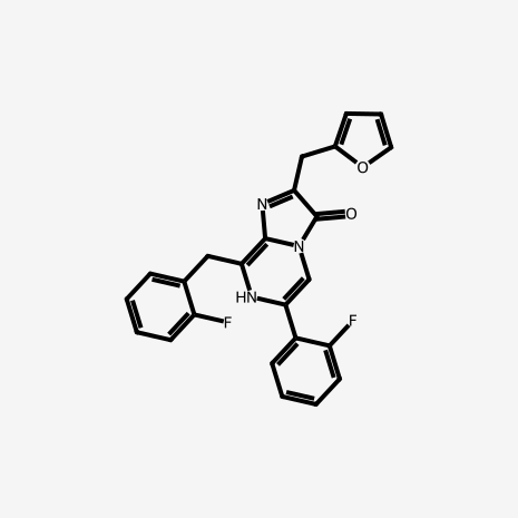 O=c1c(Cc2ccco2)nc2c(Cc3ccccc3F)[nH]c(-c3ccccc3F)cn1-2